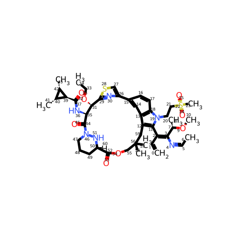 C=C/C(=C(\N=C/C)[C@H](C)OC)c1c2c3cc(ccc3n1CCS(C)(=O)=O)-c1csc(n1)[C@@H](OCC)[C@H](NC(=O)[C@H]1[C@H](C)[C@@H]1C)C(=O)N1CCC[C@H](N1)C(=O)OCC(C)(C)C2